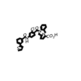 O=C(Nc1ccc(C(=O)N2Cc3ccc(C(=O)O)n3Cc3ccccc32)c(Cl)c1)c1cccc(-c2cccs2)c1